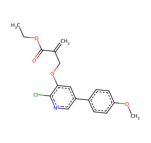 C=C(COc1cc(-c2ccc(OC)cc2)cnc1Cl)C(=O)OCC